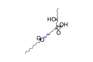 CCCCCCCCCC(=O)O/C=C/C=C/CCC[C@H]1C(=O)C[C@@H](O)[C@@H]1CC[C@@H](O)CCCCC